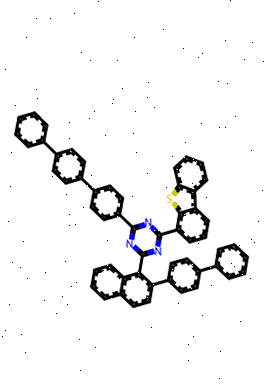 c1ccc(-c2ccc(-c3ccc(-c4nc(-c5c(-c6ccc(-c7ccccc7)cc6)ccc6ccccc56)nc(-c5cccc6c5sc5ccccc56)n4)cc3)cc2)cc1